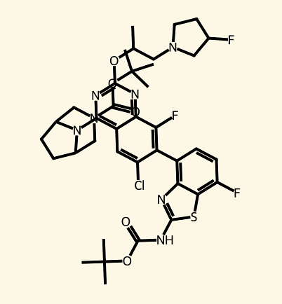 CC(CN1CCC(F)C1)Oc1nc(N2C3CCC2CN(C(=O)OC(C)(C)C)C3)c2cc(Cl)c(-c3ccc(F)c4sc(NC(=O)OC(C)(C)C)nc34)c(F)c2n1